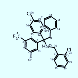 Fc1cc(C(F)(F)F)cc(C(Cc2ccccc2)(NCc2ccccc2Cl)c2ccc(Cl)cn2)c1